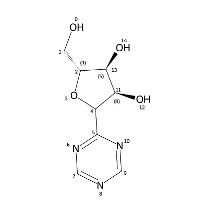 OC[C@H]1OC(c2ncncn2)[C@H](O)[C@@H]1O